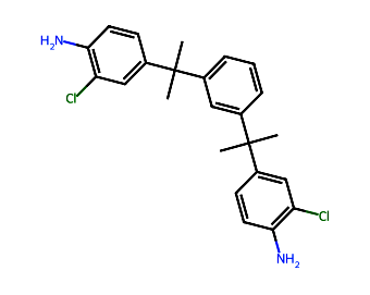 CC(C)(c1cccc(C(C)(C)c2ccc(N)c(Cl)c2)c1)c1ccc(N)c(Cl)c1